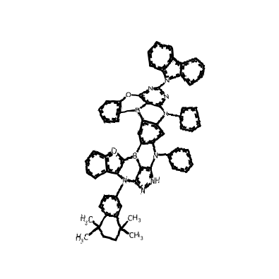 CC1(C)CCC(C)(C)c2cc(N3c4n[nH]c5c4B(c4cc6c(cc4N5c4ccccc4)N(c4ccccc4)c4nc(-n5c7ccccc7c7ccccc75)nc5c4B6c4ccccc4O5)c4oc5ccccc5c43)ccc21